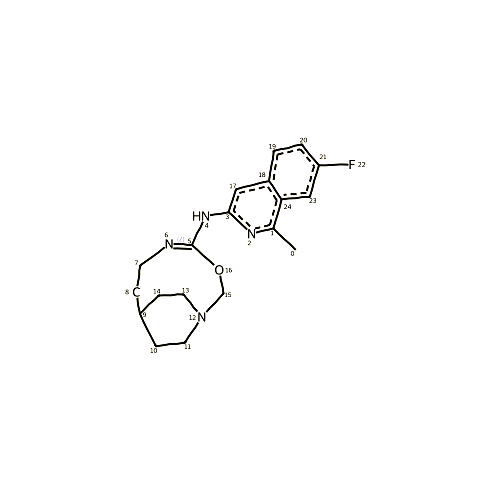 Cc1nc(N/C2=N/CCC3CCN(CC3)CO2)cc2ccc(F)cc12